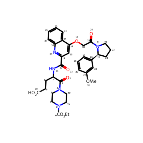 CCOC(=O)N1CCN(C(=O)C(CCC(=O)O)NC(=O)c2cc(OCC(=O)N3CCC[C@H]3c3cccc(OC)c3)c3ccccc3n2)CC1